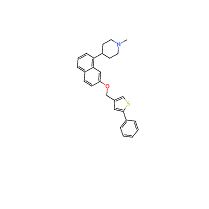 CN1CCC(c2cccc3ccc(OCc4csc(-c5ccccc5)c4)cc23)CC1